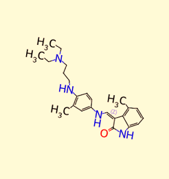 CCN(CC)CCCNc1ccc(N/C=C2\C(=O)Nc3cccc(C)c32)cc1C